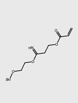 C=CC(=O)OCCC(=N)OCCOC(C)CC